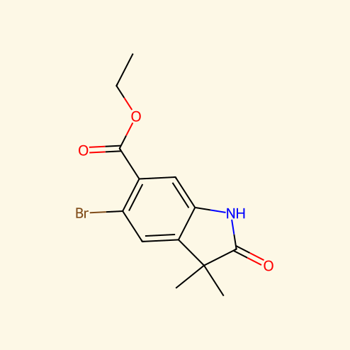 CCOC(=O)c1cc2c(cc1Br)C(C)(C)C(=O)N2